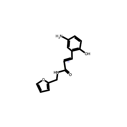 Nc1ccc(O)c(/C=C/C(=O)NCc2ccco2)c1